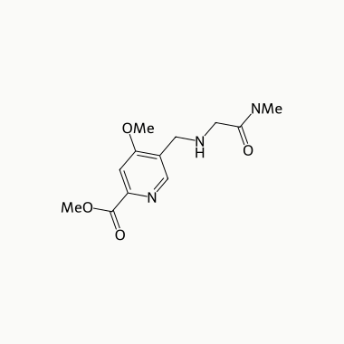 CNC(=O)CNCc1cnc(C(=O)OC)cc1OC